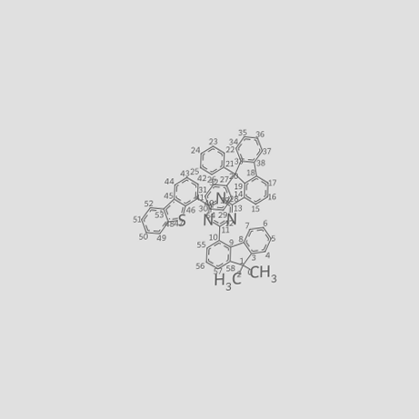 CC1(C)c2ccccc2-c2c(-c3nc(-c4cccc5c4C(c4ccccc4)(c4ccccc4)c4ccccc4-5)nc(-c4cccc5c4sc4ccccc45)n3)cccc21